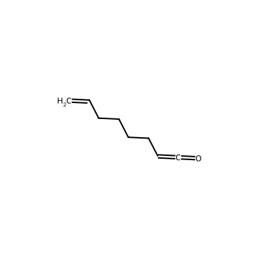 C=CCCCCC=C=O